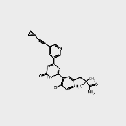 CC(C)(Cc1ccc(Cl)c(-c2nc(-c3cncc(C#CC4CC4)c3)cc(=O)[nH]2)c1)C(N)=O